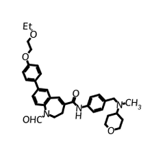 CCOCCOc1ccc(-c2ccc3c(c2)C=C(C(=O)Nc2ccc(CN(C)C4CCOCC4)cc2)CCN3C=O)cc1